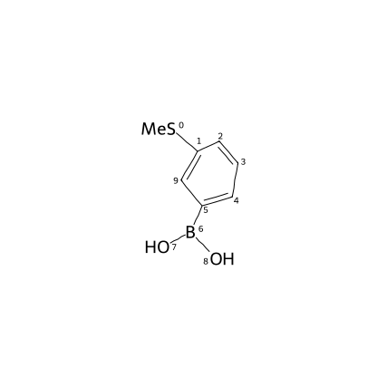 CSc1cccc(B(O)O)c1